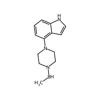 CBN1CCN(c2cccc3[nH]ccc23)CC1